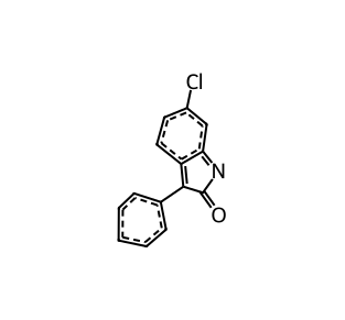 O=C1N=c2cc(Cl)ccc2=C1c1ccccc1